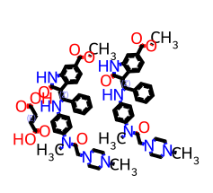 COC(=O)c1ccc2c(c1)NC(=O)/C2=C(\Nc1ccc(N(C)C(=O)CN2CCN(C)CC2)cc1)c1ccccc1.COC(=O)c1ccc2c(c1)NC(=O)/C2=C(\Nc1ccc(N(C)C(=O)CN2CCN(C)CC2)cc1)c1ccccc1.O=C(O)/C=C/C(=O)O